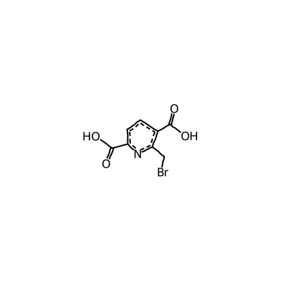 O=C(O)c1ccc(C(=O)O)c(CBr)n1